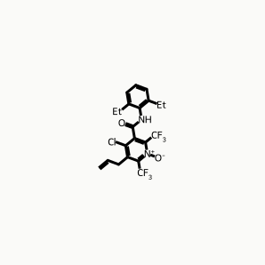 C=CCc1c(Cl)c(C(=O)Nc2c(CC)cccc2CC)c(C(F)(F)F)[n+]([O-])c1C(F)(F)F